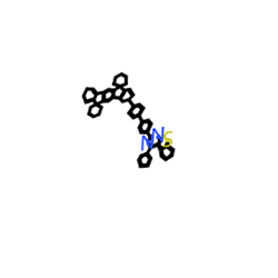 C1=CC(c2ccc(-c3ccc(-c4nc(-c5ccccc5)c5c(n4)sc4ccccc45)cc3)cc2)CC2=C1C1(CCCCC1)c1cc3c(cc12)C1(CCCCC1)C1=CCCC=C13